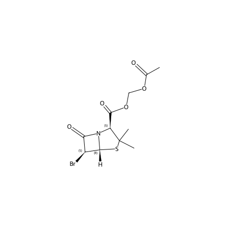 CC(=O)OCOC(=O)[C@@H]1N2C(=O)[C@H](Br)[C@H]2SC1(C)C